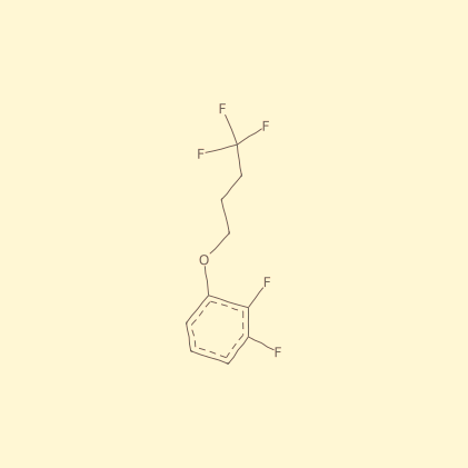 Fc1cccc(OCCCC(F)(F)F)c1F